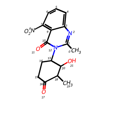 Cc1nc2cccc([N+](=O)[O-])c2c(=O)n1C1CCC(=O)C(C)C1O